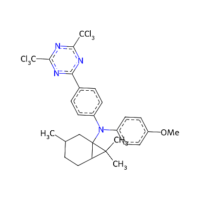 COc1ccc(N(c2ccc(-c3nc(C(Cl)(Cl)Cl)nc(C(Cl)(Cl)Cl)n3)cc2)C23CC(C)CCC2C3(C)C)cc1